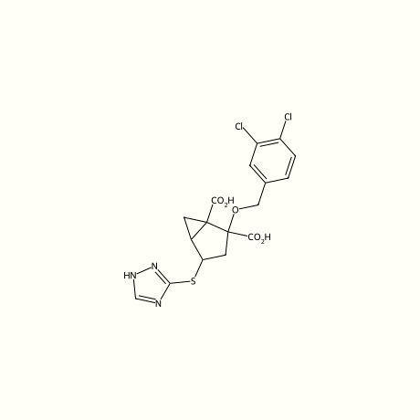 O=C(O)C1(OCc2ccc(Cl)c(Cl)c2)CC(Sc2nc[nH]n2)C2CC21C(=O)O